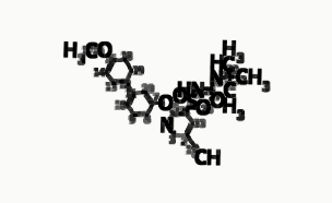 C#Cc1cnc(Oc2cccc(C3=CC=C(OC)CC3)c2)c(S(=O)(=O)NC(=O)NC(C)(C)C)c1